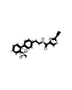 C#Cc1nc(C(=O)NCCc2ccc(-c3ccccc3S(C)(=O)=O)cc2)cs1